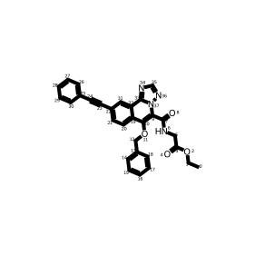 CCOC(=O)CNC(=O)c1c(OCc2ccccc2)c2ccc(C#Cc3ccccc3)cc2c2ncnn12